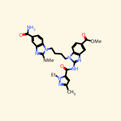 CCn1nc(C)cc1C(=O)Nc1nc2cc(C(=O)OC)ccc2n1CCCCn1c(NC)nc2cc(C(N)=O)ccc21